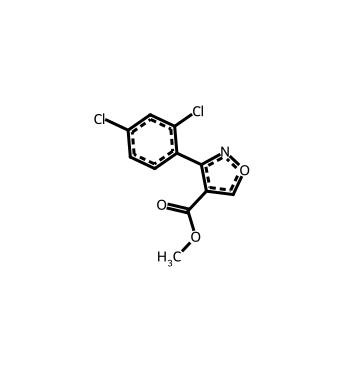 COC(=O)c1conc1-c1ccc(Cl)cc1Cl